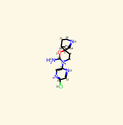 NC1OC2(CCN1c1cnc(Cl)cn1)CN1CCC2CC1